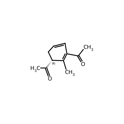 CC(=O)C1=C(C)[C@H](C(C)=O)CC=C1